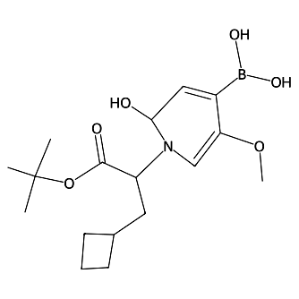 COC1=CN(C(CC2CCC2)C(=O)OC(C)(C)C)C(O)C=C1B(O)O